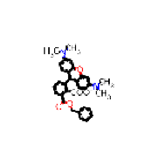 CN(C)c1ccc2c(-c3cccc(C(=O)OCc4ccccc4)c3C(=O)[O-])c3ccc(=[N+](C)C)cc-3oc2c1